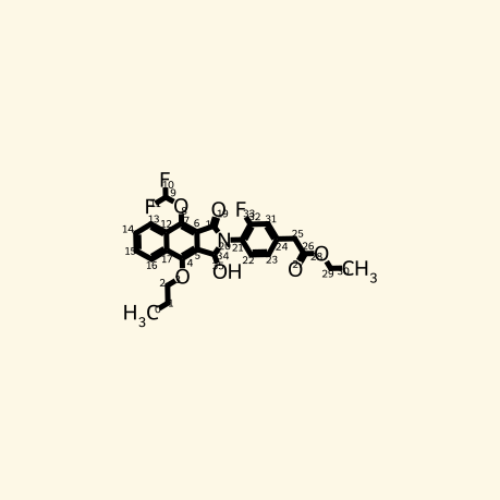 CCCOc1c2c(c(OC(F)F)c3ccccc13)C(=O)N(c1ccc(CC(=O)OCC)cc1F)C2O